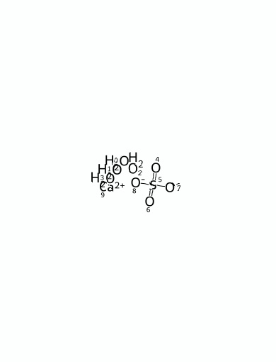 O.O.O.O.O=S(=O)([O-])[O-].[Ca+2]